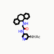 CC(=O)Nc1cncc(NC(=O)CNC2c3ccccc3CCc3ccccc32)c1